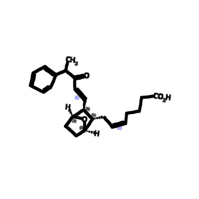 CC(C(=O)/C=C/[C@H]1[C@H](C/C=C\CCCC(=O)O)[C@H]2CC[C@@H]1O2)c1ccccc1